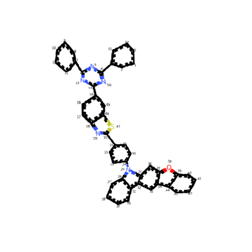 c1ccc(-c2nc(-c3ccccc3)nc(-c3ccc4nc(-c5ccc(-n6c7ccccc7c7cc8c(cc76)oc6ccccc68)cc5)sc4c3)n2)cc1